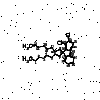 CCCCCCCCC1(CCCCCCCC)c2ccccc2-c2ccc(Cl)c(Cl)c21